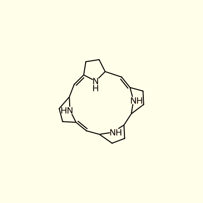 C1=C2CCC(C=C3CCC(N3)C3CCC(C=C4CCC1N4)N3)N2